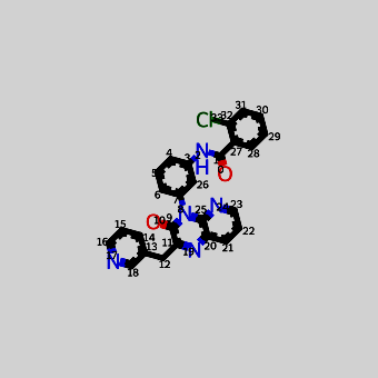 O=C(Nc1cccc(-n2c(=O)c(Cc3cccnc3)nc3cccnc32)c1)c1ccccc1Cl